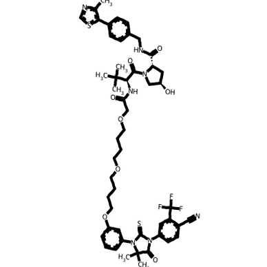 Cc1ncsc1-c1ccc(CNC(=O)[C@@H]2C[C@@H](O)CN2C(=O)[C@@H](NC(=O)COCCCCOCCCCOc2cccc(N3C(=S)N(c4ccc(C#N)c(C(F)(F)F)c4)C(=O)C3(C)C)c2)C(C)(C)C)cc1